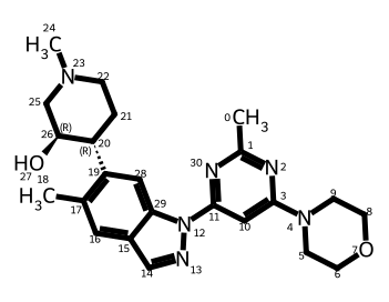 Cc1nc(N2CCOCC2)cc(-n2ncc3cc(C)c([C@H]4CCN(C)C[C@@H]4O)cc32)n1